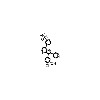 CN(C)S(=O)(=O)c1cccc(-c2ccnc3c(-c4ccc(Cl)c(O)c4)c(-c4ccncc4)nn23)c1